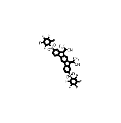 N#C/C(=C1/c2cc(S(=O)(=O)c3c(F)c(F)c(F)c(F)c3F)ccc2-c2cc3c(cc21)/C(=C(/C#N)C(F)(F)F)c1cc(S(=O)(=O)c2c(F)c(F)c(F)c(F)c2F)ccc1-3)C(F)(F)F